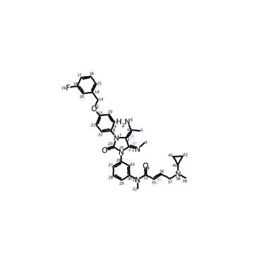 C/N=C1\C(=C(/C)N)N(c2ccc(OCc3cccc(F)c3)cc2)C(=O)N1c1cccc(N(C)C(=O)/C=C/CN(C)C2CC2)c1